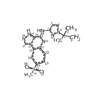 CC(C)(C)n1ccc(Nc2nc3ccc(S(C)(=O)=O)cc3c3cn[nH]c23)n1